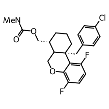 CNC(=O)OC[C@@H]1CCC[C@@]2(Cc3ccc(Cl)cc3)c3c(F)ccc(F)c3OCC12